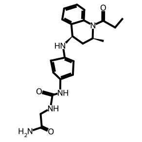 CCC(=O)N1c2ccccc2[C@H](Nc2ccc(NC(=O)NCC(N)=O)cc2)C[C@@H]1C